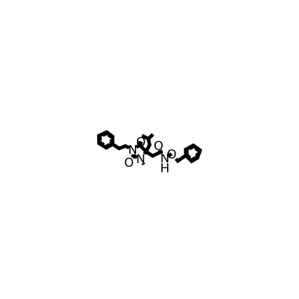 CC(C)CC1(CC(=O)NOCc2ccccc2)C(=O)N(CCc2ccccc2)C(=O)N1C